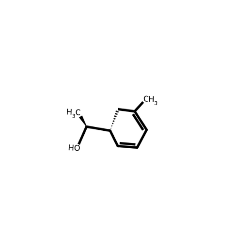 CC1=CC=C[C@H]([C@H](C)O)C1